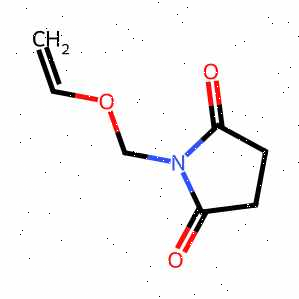 C=COCN1C(=O)CCC1=O